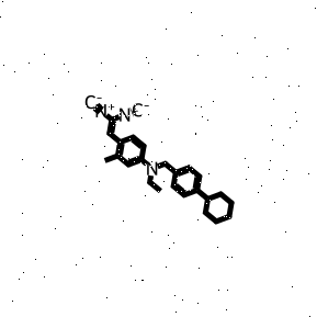 [C-]#[N+]C(=Cc1ccc(N(CC)Cc2ccc(C3CCCCC3)cc2)cc1C)[N+]#[C-]